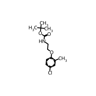 Cc1cc(Cl)ccc1OCCNC(=O)OC(C)(C)C